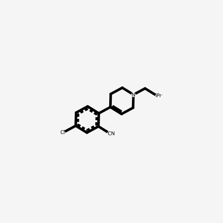 C[C](C)CN1CC=C(c2ccc(Cl)cc2C#N)CC1